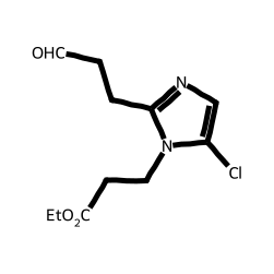 CCOC(=O)CCn1c(Cl)cnc1CCC=O